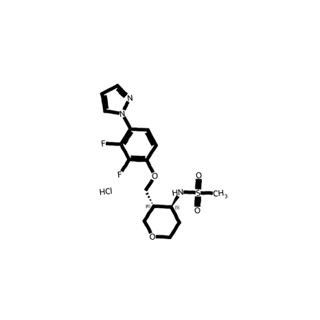 CS(=O)(=O)N[C@H]1CCOC[C@@H]1COc1ccc(-n2cccn2)c(F)c1F.Cl